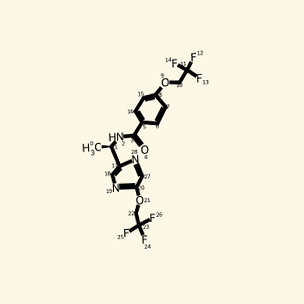 C[C@@H](NC(=O)c1ccc(OCC(F)(F)F)cc1)c1cnc(OCC(F)(F)F)cn1